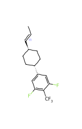 C/C=C/[C@H]1CC[C@H](c2cc(F)c(C(F)(F)F)c(F)c2)CC1